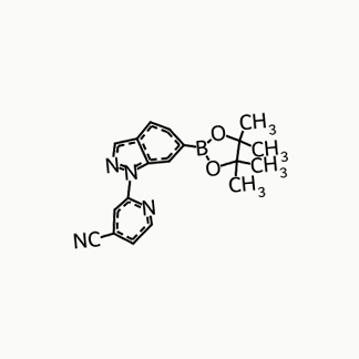 CC1(C)OB(c2ccc3cnn(-c4cc(C#N)ccn4)c3c2)OC1(C)C